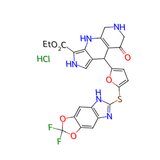 CCOC(=O)c1[nH]cc2c1NC1=C(C(=O)CNC1)C2c1ccc(Sc2nc3cc4c(cc3[nH]2)OC(F)(F)O4)o1.Cl